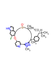 Cn1nc2nc1-c1cc(ccn1)Oc1c(F)cc3[nH]ccc3c1CC[S+]([O-])CC(C)(C)CCC[C@]2(C)c1cccc(CC(C)(C)C(=O)O)c1